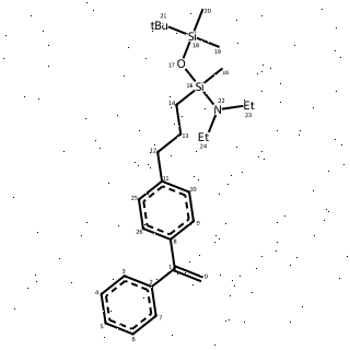 C=C(c1ccccc1)c1ccc(CCC[Si](C)(O[Si](C)(C)C(C)(C)C)N(CC)CC)cc1